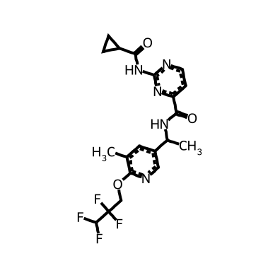 Cc1cc(C(C)NC(=O)c2ccnc(NC(=O)C3CC3)n2)cnc1OCC(F)(F)C(F)F